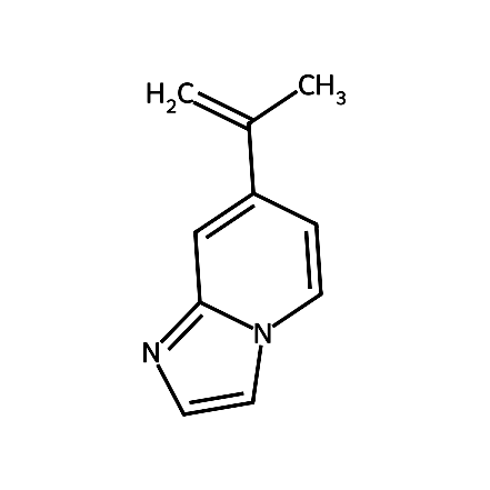 C=C(C)c1ccn2ccnc2c1